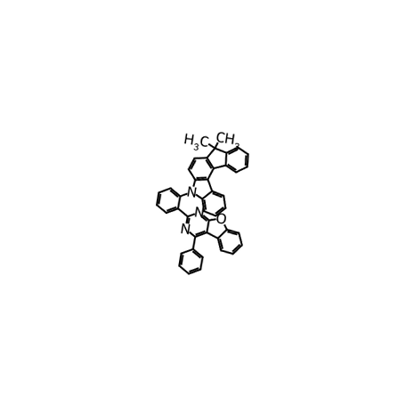 CC1(C)c2ccccc2-c2c1ccc1c2c2ccccc2n1-c1ccccc1-c1nc(-c2ccccc2)c2c(n1)oc1ccccc12